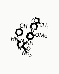 COc1cc(Nc2nc(N[C@H]3CC[C@H](O)CC3)cnc2C(N)=O)ccc1N1CCC2(CC1)OCCC2C